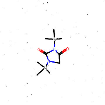 C[Si](C)(C)N1CC(=O)N([Si](C)(C)C)C1=O